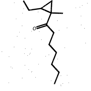 CCCCCCC(=O)C1(C)CC1CC